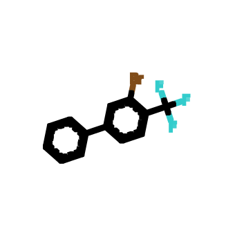 FC(F)(F)c1ccc(-c2ccccc2)cc1Br